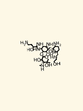 CN[C@H]1[C@@H](O)[C@@H](OC2C(O)C(O)(C[C@H]3O[C@H](CNCCO)CCC3N)[C@@H](N)C[C@H]2NC(=N)C(O)CCN)OCC1(C)O